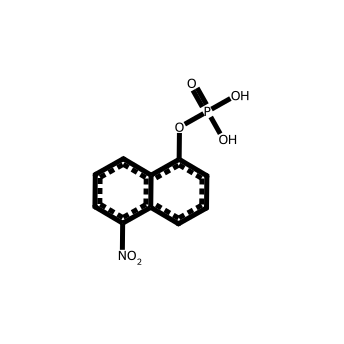 O=[N+]([O-])c1cccc2c(OP(=O)(O)O)cccc12